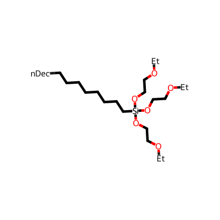 CCCCCCCCCCCCCCCCCC[Si](OCCOCC)(OCCOCC)OCCOCC